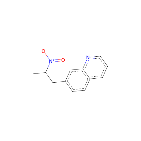 CC(Cc1ccc2cccnc2c1)[N+](=O)[O-]